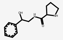 O=C(NCC(O)c1ccccc1)C1CCCN1